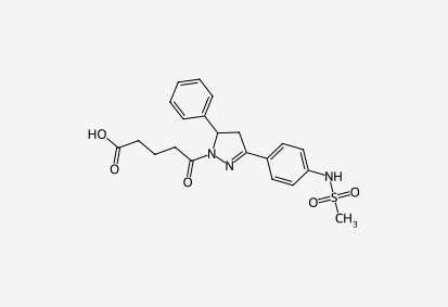 CS(=O)(=O)Nc1ccc(C2=NN(C(=O)CCCC(=O)O)C(c3ccccc3)C2)cc1